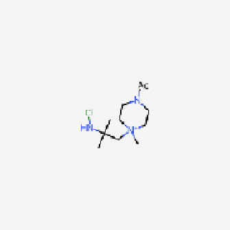 CC(=O)N1CC[N+](C)(CC(C)(C)NCl)CC1